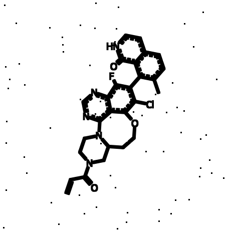 C=CC(=O)N1CCN2c3ncnc4c(F)c(-c5c(C)ccc6cc[nH]c(=O)c56)c(Cl)c(c34)OCCC2C1